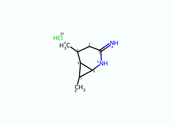 CC1CC(=N)NC2C(C)C12.Cl